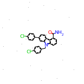 NC(=O)c1cccc2c1c1[c]cc(-c3ccc(Cl)cc3)cc1n2Cc1ccc(Cl)cc1